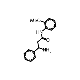 COc1ccccc1NC(=O)CC(N)c1ccccc1